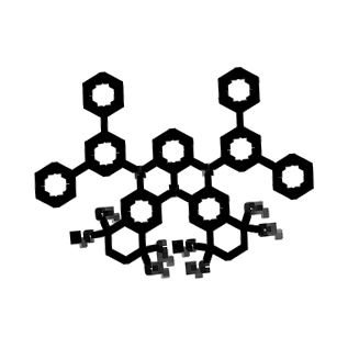 CC1(C)CCC(C)(C)c2cc3c(cc21)B1c2cc4c(cc2N(c2cc(-c5ccccc5)cc(-c5ccccc5)c2)c2cccc(c21)N3c1cc(-c2ccccc2)cc(-c2ccccc2)c1)C(C)(C)CCC4(C)C